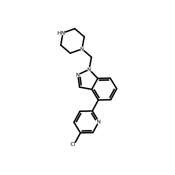 Clc1ccc(-c2cccc3c2cnn3CN2CCNCC2)nc1